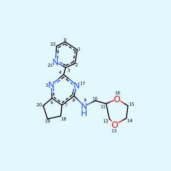 c1ccc(-c2nc3c(c(NCC4COCCO4)n2)CCC3)nc1